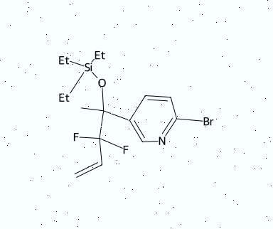 C=CC(F)(F)C(C)(O[Si](CC)(CC)CC)c1ccc(Br)nc1